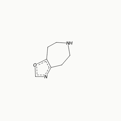 c1nc2c(o1)CCNCC2